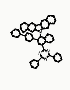 c1ccc(-c2ccc(-c3cc(-c4nc(-c5ccccc5)nc(-c5ccccc5)n4)c4ccccc4c3-n3c4cc5ccccc5cc4c4cc5ccccc5cc43)cc2)cc1